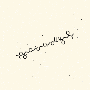 CC(C)OC(=O)CCOCCOCCOCCOCCNC(=O)CCC(=O)C(C)C